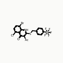 CC(=O)c1c(SCc2ccc(S(F)(F)(F)(F)F)cc2)[nH]c2c(Br)ccc(Cl)c2c1=O